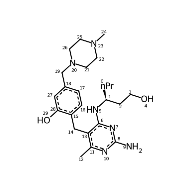 CCC[C@@H](CCO)Nc1nc(N)nc(C)c1Cc1ccc(CN2CCN(C)CC2)cc1O